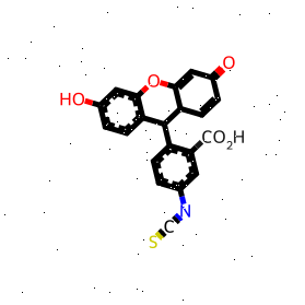 O=C1C=CC2C(=C1)Oc1cc(O)ccc1C2c1ccc(N=C=S)cc1C(=O)O